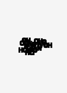 Cl.O=C(O)c1cnc(C(=O)OC(=O)c2ncc(C(=O)O)nc2C(=O)O)c(C(=O)O)n1